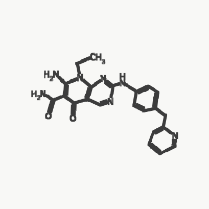 CCn1c(N)c(C(N)=O)c(=O)c2cnc(Nc3ccc(Cc4ccccn4)cc3)nc21